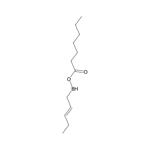 CC/C=C/CBOC(=O)CCCCCC